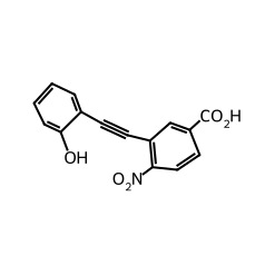 O=C(O)c1ccc([N+](=O)[O-])c(C#Cc2ccccc2O)c1